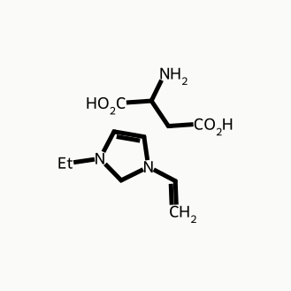 C=CN1C=CN(CC)C1.NC(CC(=O)O)C(=O)O